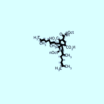 CCCCCCCCNC(=O)C1=CC(C(=O)O)C(C/C=C(\C)CCC=C(C)C)(C(=O)NCCCCCCCC)C(C/C=C(\C)CCC=C(C)C)=C1C(=O)O